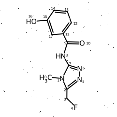 Cn1c(CF)nnc1NC(=O)c1cccc(O)c1